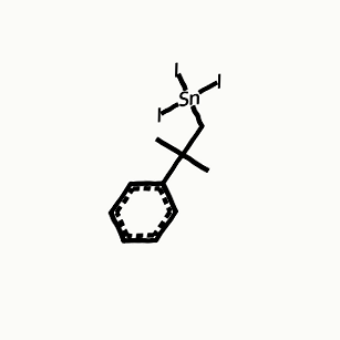 CC(C)([CH2][Sn]([I])([I])[I])c1ccccc1